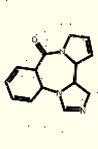 O=C1C2C=CC=CC2N2C=NCC2C2C=CCN12